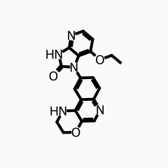 CCOc1ccnc2[nH]c(=O)n(-c3ccc4ncc5c(c4c3)NCCO5)c12